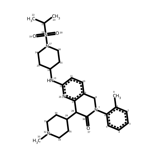 Cc1ccccc1N1Cc2ccc(NC3CCN(S(=O)(=O)C(C)C)CC3)nc2C(C2CCN(C)CC2)C1=O